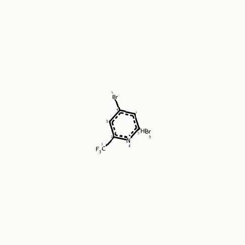 Br.FC(F)(F)c1cc(Br)ccn1